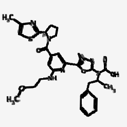 COCCNc1cc(C(=O)N2CCC[C@@H]2c2nc(C)cs2)cc(-c2nnc(N(C(=O)O)C(C)Cc3ccccc3)o2)n1